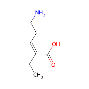 CCC(=CCCN)C(=O)O